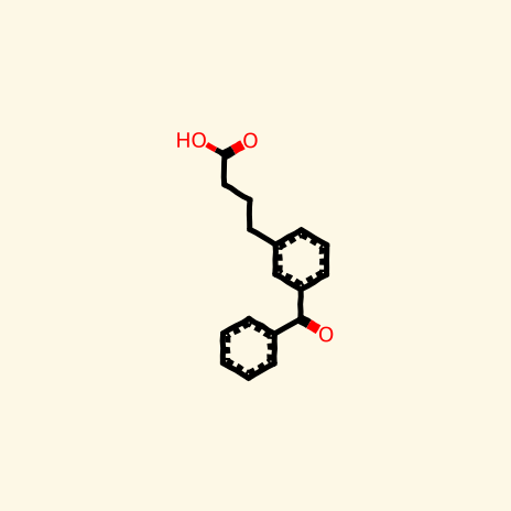 O=C(O)CCCc1cccc(C(=O)c2ccccc2)c1